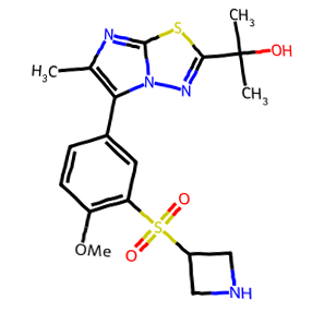 COc1ccc(-c2c(C)nc3sc(C(C)(C)O)nn23)cc1S(=O)(=O)C1CNC1